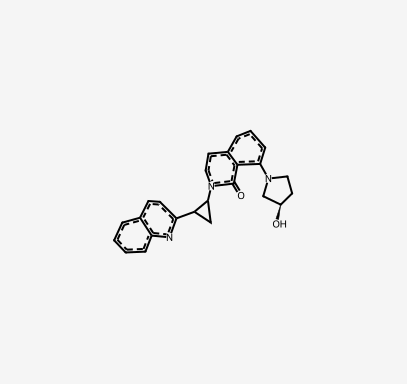 O=c1c2c(N3CC[C@@H](O)C3)cccc2ccn1C1CC1c1ccc2ccccc2n1